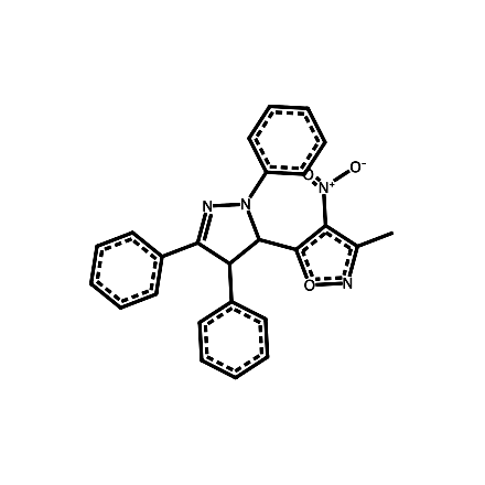 Cc1noc(C2C(c3ccccc3)C(c3ccccc3)=NN2c2ccccc2)c1[N+](=O)[O-]